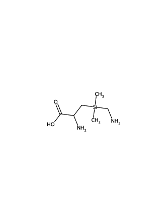 C[Si](C)(CN)CC(N)C(=O)O